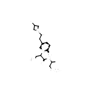 COCC(C)OC(=O)C(CC(C)C)n1cc(CCN2CC(F)C2)ccc1=O